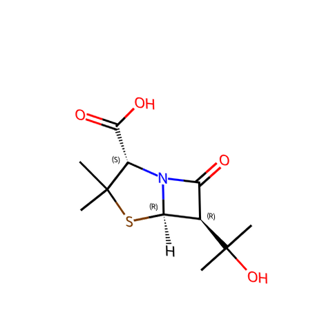 CC(C)(O)[C@@H]1C(=O)N2[C@@H]1SC(C)(C)[C@@H]2C(=O)O